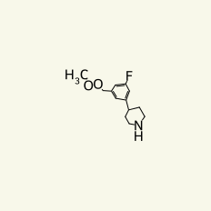 COOCc1cc(F)cc(C2CCNCC2)c1